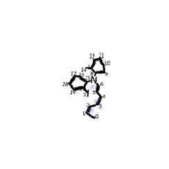 C\C=C/C=C\C=C\N(c1ccccc1C)c1ccccc1I